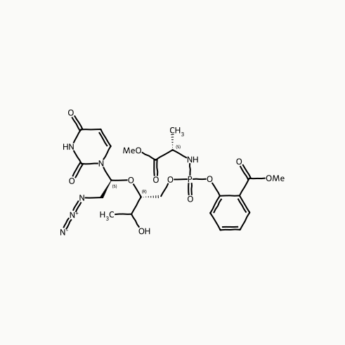 COC(=O)c1ccccc1OP(=O)(N[C@@H](C)C(=O)OC)OC[C@@H](O[C@@H](CN=[N+]=[N-])n1ccc(=O)[nH]c1=O)C(C)O